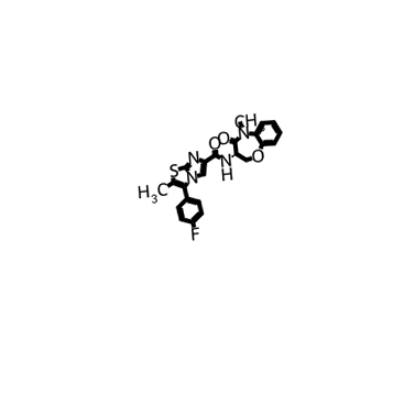 Cc1sc2nc(C(=O)N[C@H]3COc4ccccc4N(C)C3=O)cn2c1-c1ccc(F)cc1